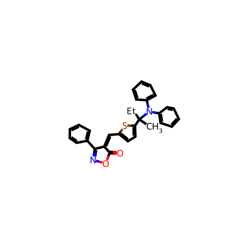 CCC(C)(c1ccc(C=C2C(=O)ON=C2c2ccccc2)s1)N(c1ccccc1)c1ccccc1